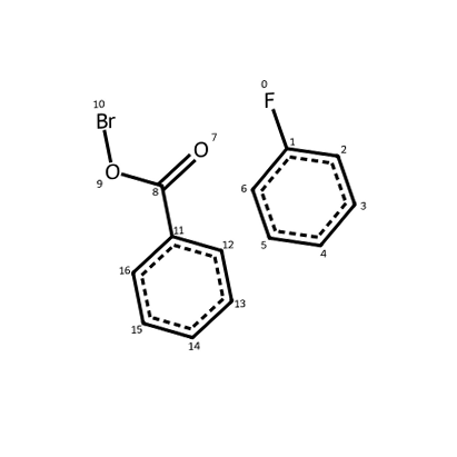 Fc1ccccc1.O=C(OBr)c1ccccc1